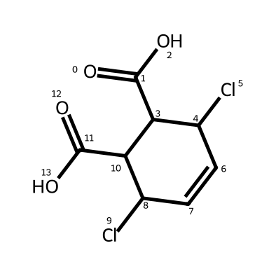 O=C(O)C1C(Cl)C=CC(Cl)C1C(=O)O